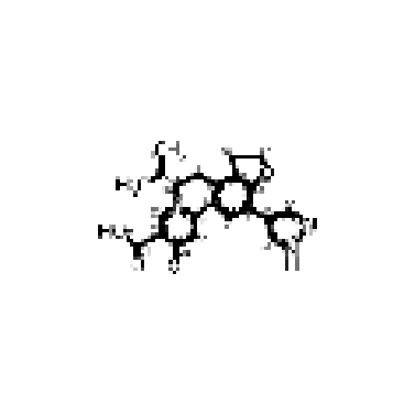 CC(C)[C@@H]1Cc2c(cc(-c3cn[nH]c3)c3c2CCO3)-c2cc(=O)c(C(=O)O)cn21